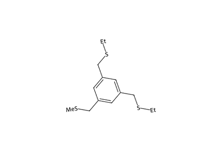 CCSCc1cc(CSC)cc(CSCC)c1